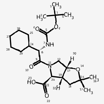 CC(C)(C)OC(=O)N[C@H](C(=O)N1C[C@@H]2OC(C)(C)C[C@@H]2[C@H]1C(=O)O)C1CCCCC1